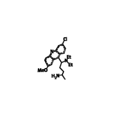 CCN(CC)C(CCC(C)N)c1c2ccc(Cl)cc2nc2ccc(OC)cc12